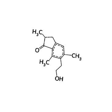 Cc1cc2c(c(C)c1CCO)C(=O)C(C)C2